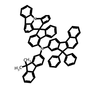 CC1(C)c2ccccc2-c2ccc(N(c3ccc4c(c3)C(c3ccccc3)(c3ccccc3)c3ccc5ccccc5c3-4)c3cccc4c3-c3ccccc3C43c4ccccc4-n4c5ccccc5c5cccc3c54)cc21